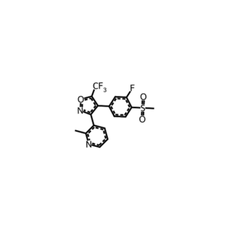 Cc1ncccc1-c1noc(C(F)(F)F)c1-c1ccc(S(C)(=O)=O)c(F)c1